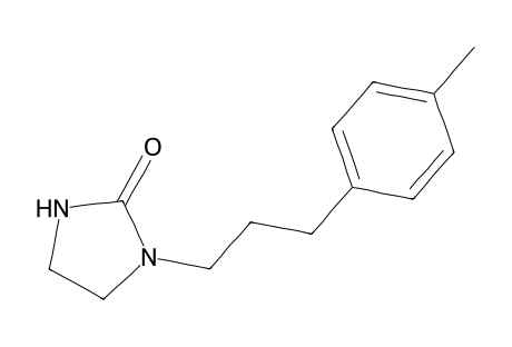 Cc1ccc(CCCN2CCNC2=O)cc1